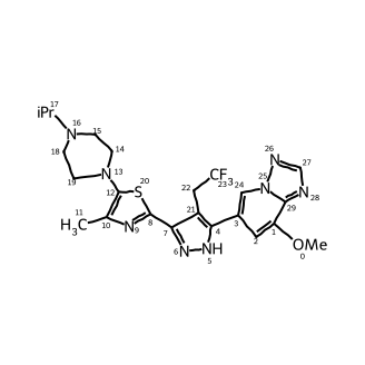 COc1cc(-c2[nH]nc(-c3nc(C)c(N4CCN(C(C)C)CC4)s3)c2CC(F)(F)F)cn2ncnc12